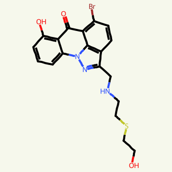 O=c1c2c(O)cccc2n2nc(CNCCSCCO)c3ccc(Br)c1c32